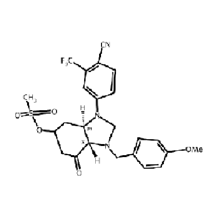 COc1ccc(CN2CN(c3ccc(C#N)c(C(F)(F)F)c3)[C@@H]3CC(OS(C)(=O)=O)CC(=O)[C@H]32)cc1